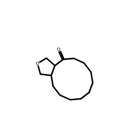 O=C1CCCCCCCCCC2COCC12